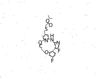 CC(C)OC(=O)CSCc1cc2nc(c1)OCCCOc1cc(F)ccc1-c1cc(ncc1F)N2